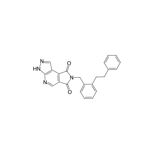 O=C1c2cnc3[nH]ncc3c2C(=O)N1Cc1ccccc1CCc1ccccc1